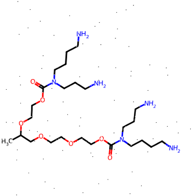 CC(COCCOCCOC(=O)N(CCCN)CCCCN)OCCOC(=O)N(CCCN)CCCCN